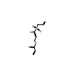 C=CCS(=O)(=O)C(F)=CCOC(=O)C=C